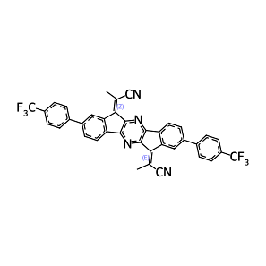 C/C(C#N)=C1\c2cc(-c3ccc(C(F)(F)F)cc3)ccc2-c2nc3c(nc21)-c1ccc(-c2ccc(C(F)(F)F)cc2)cc1/C3=C(/C)C#N